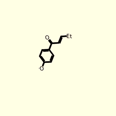 CCC=CC(=O)c1ccc([O])cc1